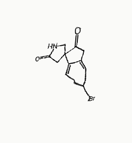 O=C1CC2(CN1)C(=O)CC1=CC(Br)CC=C12